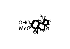 CO[C@@H]1C(C=O)=CC[C@@H]2C3=C(C(C)C)CC[C@]3(C)CC[C@@]2(C)[C@H]1O